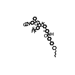 CCCCC[C@H]1CC[C@H](c2ccc(-c3ccc(C(=O)Nc4ccc(-c5ccc6c(c5)-c5c(c7c(c8cc(C(F)(F)F)ccc58)OC(c5ccccc5)(c5ccc(N8CCOCC8)cc5)C=C7)C6(C)C)c(C)c4)cc3)cc2)CC1